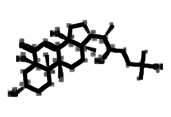 C[C@H]([C@H](O)CCC(C)(C)O)[C@H]1CC[C@@]2(O)C3=CC(=O)[C@]4(O)C[C@@H](O)CC[C@]4(C)[C@H]3CC[C@]12C